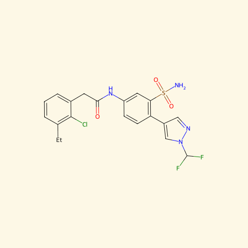 CCc1cccc(CC(=O)Nc2ccc(-c3cnn(C(F)F)c3)c(S(N)(=O)=O)c2)c1Cl